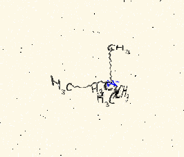 CCCCCCCCCCCCCC[N+](C)(CCCCCCCCCCCCCC)CCC(C)C